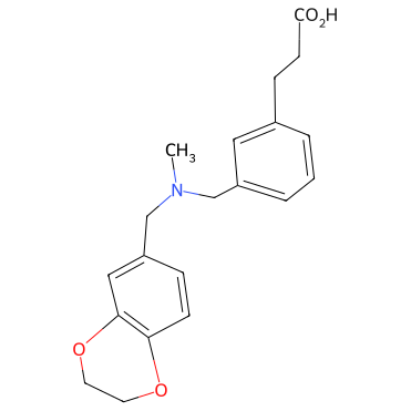 CN(Cc1cccc(CCC(=O)O)c1)Cc1ccc2c(c1)OCCO2